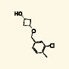 Cc1ccc(CO[C@H]2C[C@@H](O)C2)cc1Cl